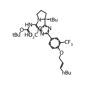 CCCCC=CCOc1ccc(-c2noc([C@@]3(C(C)(C)C)CCCN3C(=NC(=O)O)NC(=O)OC(C)(C)C)n2)cc1C(F)(F)F